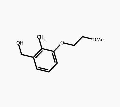 COCCOc1cccc([CH]O)c1C